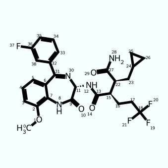 COc1cccc2c1NC(=O)[C@@H](NC(=O)[C@H](CCC(F)(F)F)[C@H](CC1CC1)C(N)=O)N=C2c1cccc(F)c1